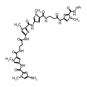 CCCNC(=O)c1nc(NC(=O)CCNC(=O)c2cc(NC(=O)c3nc(NC(=O)CCNC(=O)c4cc(NC(=O)c5nc(N)cn5C)cn4C)cn3C)cn2C)cn1C